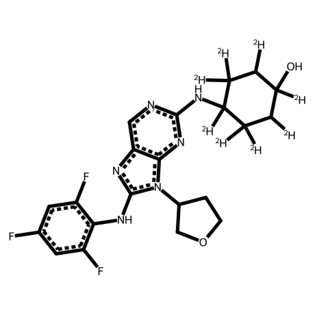 [2H]C1C([2H])(O)C([2H])C([2H])([2H])C([2H])(Nc2ncc3nc(Nc4c(F)cc(F)cc4F)n(C4CCOC4)c3n2)C1([2H])[2H]